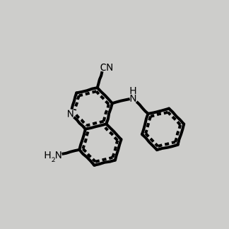 N#Cc1cnc2c(N)cccc2c1Nc1ccccc1